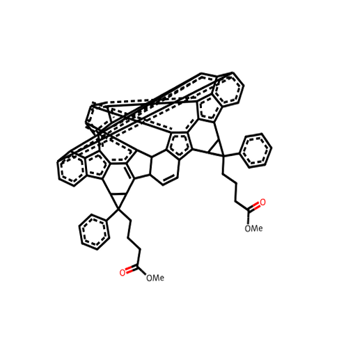 COC(=O)CCCC1(c2ccccc2)C2C3=c4c5c6c7c8c9c(c%10c8c8c(c%11ccc%12c%13ccc%14c(c4c4c%14c%13c%13c%12c%11c8c7c%13c64)C21)C1C%10C1(CCCC(=O)OC)c1ccccc1)C=CC3C95